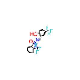 O=C(N/N=C/c1cc(C(F)(F)F)ccc1O)c1ccccc1C(F)(F)F